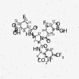 O=C(O)CC(NC(=O)[C@@H]1C[C@@H](NC(=O)c2cc(F)c3c(c2)B(O)OC3)CN1C(=O)c1cc(F)c2c(c1)B(O)OC2)c1ccc(C(F)(F)F)cc1